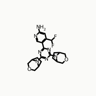 Nc1cc(C(F)F)c(-c2nc(N3C4CCC3COC4)nc(N3C4CCC3COC4)n2)cn1